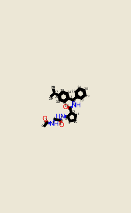 CC(=O)NCC(=O)NC1CCCC1C(=O)NC(c1ccccc1)c1ccc(C(C)C)cc1